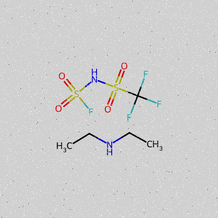 CCNCC.O=S(=O)(F)NS(=O)(=O)C(F)(F)F